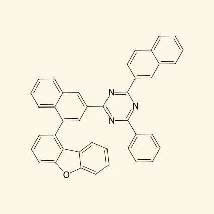 c1ccc(-c2nc(-c3ccc4ccccc4c3)nc(-c3cc(-c4cccc5oc6ccccc6c45)c4ccccc4c3)n2)cc1